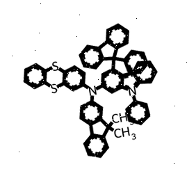 CC1(C)c2ccccc2-c2ccc(N(c3ccc4c(c3)Sc3ccccc3S4)c3cc(C4(c5ccccc5)c5ccccc5-c5ccccc54)c4c5ccccc5n(-c5ccccc5)c4c3)cc21